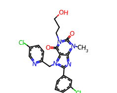 Cn1c(=O)n(CCCO)c(=O)c2c1nc(-c1cccc(Cl)c1)n2Cc1ccc(Cl)cn1